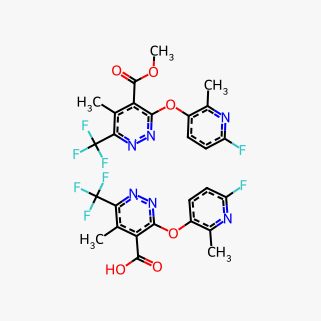 COC(=O)c1c(Oc2ccc(F)nc2C)nnc(C(F)(F)F)c1C.Cc1nc(F)ccc1Oc1nnc(C(F)(F)F)c(C)c1C(=O)O